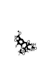 COc1noc2c(F)c3c(cc12)CC1(C(=O)NC(=O)NC1=O)[C@H]1[C@H](C)O[C@H](C)CN31